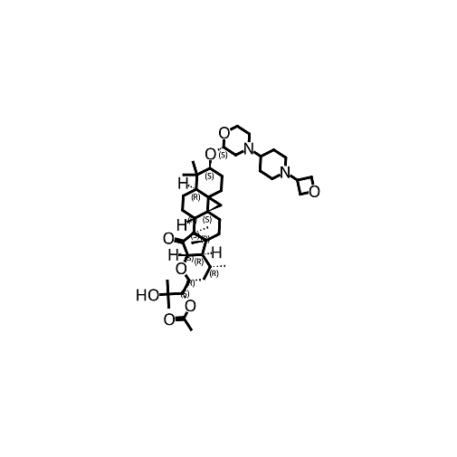 CC(=O)O[C@@H]([C@H]1C[C@@H](C)[C@H]2[C@H](O1)C(=O)[C@@]1(C)[C@@H]3CC[C@H]4C(C)(C)[C@@H](O[C@H]5CN(C6CCN(C7COC7)CC6)CCO5)CCC45C[C@@]35CC[C@]21C)C(C)(C)O